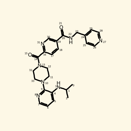 CC(C)Nc1cccnc1N1CCN(C(=O)c2ccc(C(=O)NCc3ccncc3)cn2)CC1